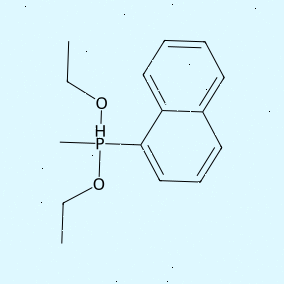 CCO[PH](C)(OCC)c1cccc2ccccc12